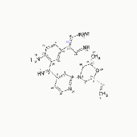 C=C[C@@H]1CN(c2cc(C(=N)c3cc(/C(C=N)=C/NC)ccc3N)ccn2)C[C@H](C)O1